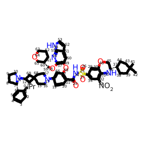 CC(C)c1ccccc1[C@@H]1CCCN1C1CC2(CCN(c3ccc(C(=O)NS(=O)(=O)c4cc5c(c([N+](=O)[O-])c4)N[C@@H](C4CCC(C)(C)CC4)CO5)c(Oc4cc5cc[nH]c5nc4OC[C@H]4CCCOC4)c3)CC2)C1